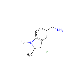 CC1C(Br)c2cc(CN)ccc2N1C(F)(F)F